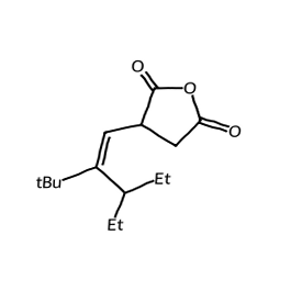 CCC(CC)C(=CC1CC(=O)OC1=O)C(C)(C)C